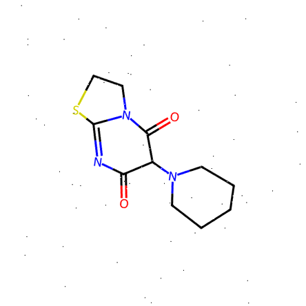 O=C1N=C2SCCN2C(=O)C1N1CCCCC1